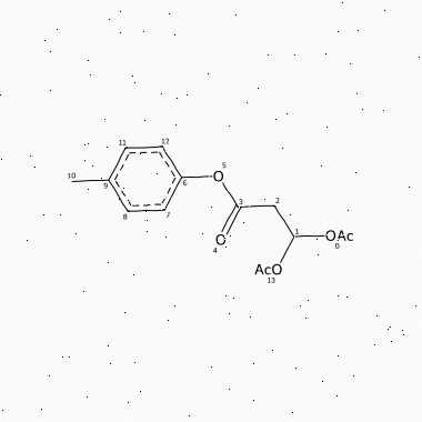 CC(=O)OC(CC(=O)Oc1ccc(C)cc1)OC(C)=O